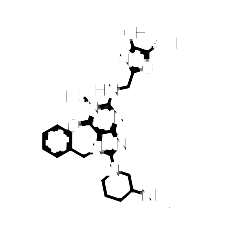 Cc1nc(CNc2nc3nc(N4CCCC(N)C4)n(Cc4ccccc4)c3c(=O)n2C)oc1C